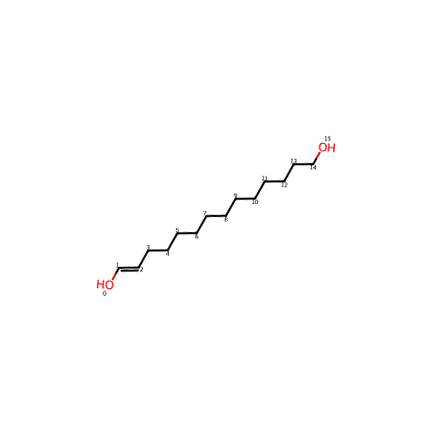 O/C=C/CCCCCCCCCCCCO